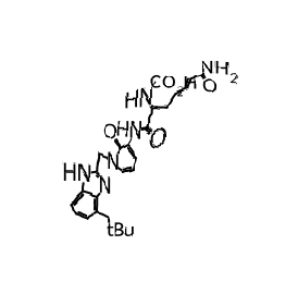 CC(C)(C)Cc1cccc2[nH]c(Cn3cccc(NC(=O)C(CC/C=C/C(N)=O)NC(=O)O)c3=O)nc12